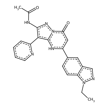 CCn1ncc2cc(-c3cc(=O)n4nc(NC(C)=O)c(-c5ccccn5)c4[nH]3)ccc21